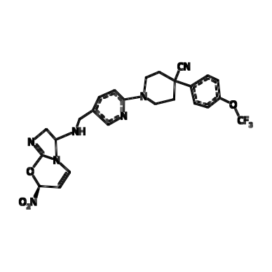 N#CC1(c2ccc(OC(F)(F)F)cc2)CCN(c2ccc(CNC3CN=C4O[C@H]([N+](=O)[O-])C=CN43)cn2)CC1